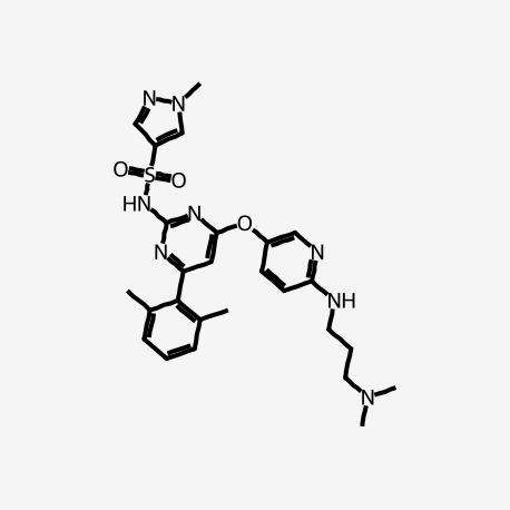 Cc1cccc(C)c1-c1cc(Oc2ccc(NCCCN(C)C)nc2)nc(NS(=O)(=O)c2cnn(C)c2)n1